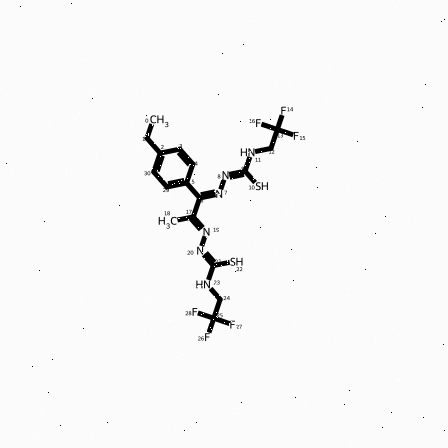 CCc1ccc(C(=N\N=C(/S)NCC(F)(F)F)/C(C)=N/N=C(\S)NCC(F)(F)F)cc1